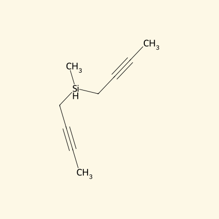 CC#CC[SiH](C)CC#CC